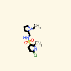 CCN1CCCC1CNS(=O)(=O)c1ccc(Cl)nc1C